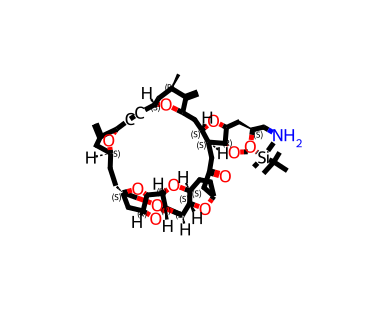 C=C1C[C@@H]2CC[C@@]34C[C@H]5O[C@H]6[C@@H](O3)[C@H]3OC(CC[C@@H]3O[C@H]6C5O4)CC(=O)C[C@H]3[C@H](CC4O[C@@H](CCC1O2)C[C@@H](C)C4=C)OC(C[C@@H](CN)O[Si](C)(C)C(C)(C)C)[C@@H]3OC